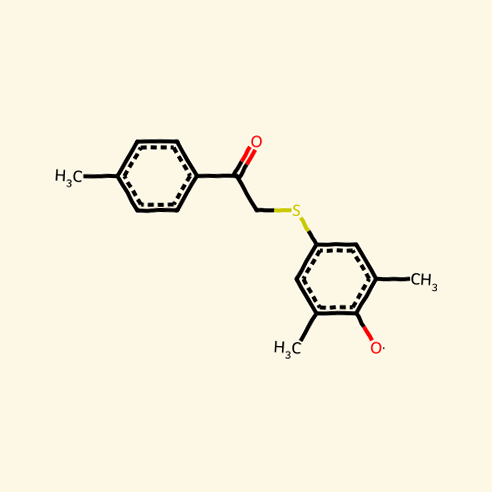 Cc1ccc(C(=O)CSc2cc(C)c([O])c(C)c2)cc1